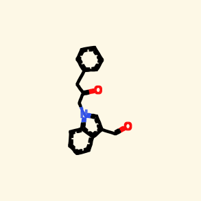 O=Cc1cn(CC(=O)Cc2ccccc2)c2ccccc12